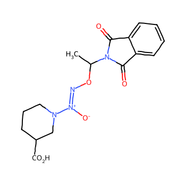 CC(ON=[N+]([O-])N1CCCC(C(=O)O)C1)N1C(=O)c2ccccc2C1=O